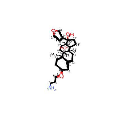 C[C@]12CCC(OCCCN)C=C1CC[C@@H]1[C@H]2CC[C@]2(C)C(O)(c3ccoc3)CC[C@@]12O